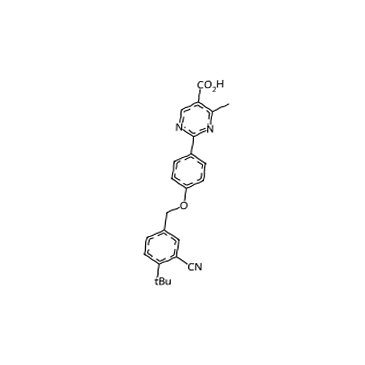 Cc1nc(-c2ccc(OCc3ccc(C(C)(C)C)c(C#N)c3)cc2)ncc1C(=O)O